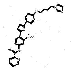 COc1cc(NC(=N)c2ccccn2)ccc1-c1ccc(-c2ccc(OCCCCn3ccnc3)cc2)o1